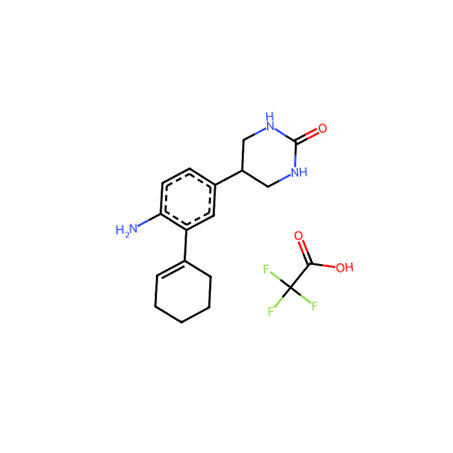 Nc1ccc(C2CNC(=O)NC2)cc1C1=CCCCC1.O=C(O)C(F)(F)F